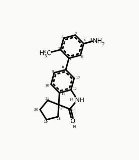 Cc1ccc(N)cc1-c1ccc2c(c1)NC(=O)C21CCCC1